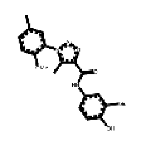 COc1ccc(C)cc1-n1nnc(C(=O)Nc2ccc(O)c(C(C)(C)C)c2)c1C